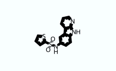 O=S(=O)(Nc1ccc2[nH]c3ncccc3c2c1)c1cccs1